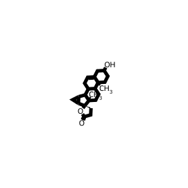 C[C@]12CCC(O)CC1=CCC1C2CC[C@@]2(C)C1C1CC1[C@@]21CCC(=O)O1